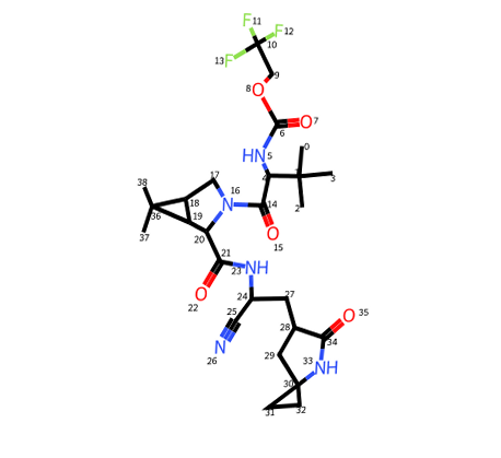 CC(C)(C)C(NC(=O)OCC(F)(F)F)C(=O)N1CC2C(C1C(=O)NC(C#N)CC1CC3(CC3)NC1=O)C2(C)C